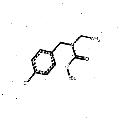 CC(C)(C)OC(=O)N(CN)Cc1ccc(Cl)cc1